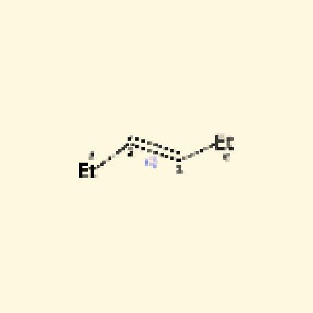 [CH2]C/C=[C]/CC